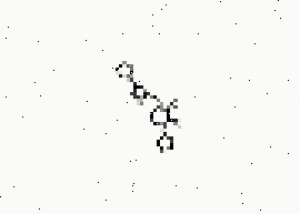 O=C1C(=O)N(C2CCCC2)CCN1Cc1nnc(N2CCCC2)s1